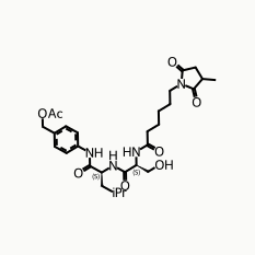 CC(=O)OCc1ccc(NC(=O)[C@H](CC(C)C)NC(=O)[C@H](CO)NC(=O)CCCCCN2C(=O)CC(C)C2=O)cc1